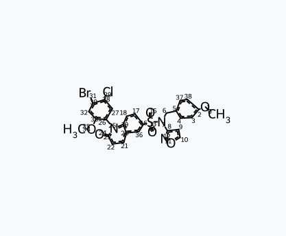 COc1ccc(CN(c2ccon2)S(=O)(=O)c2ccc3c(ccc(=O)n3-c3cc(Cl)c(Br)cc3OC)c2)cc1